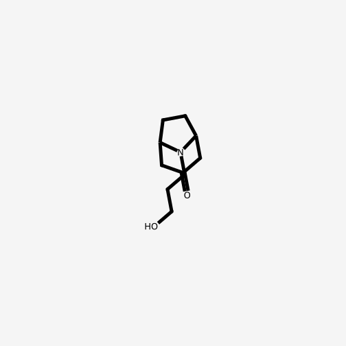 O=C1CC2CCC(C1)N2CCCO